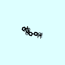 CC(Oc1noc2ccc(-c3ccc(OC(F)(F)F)cc3)cc12)c1ccccn1